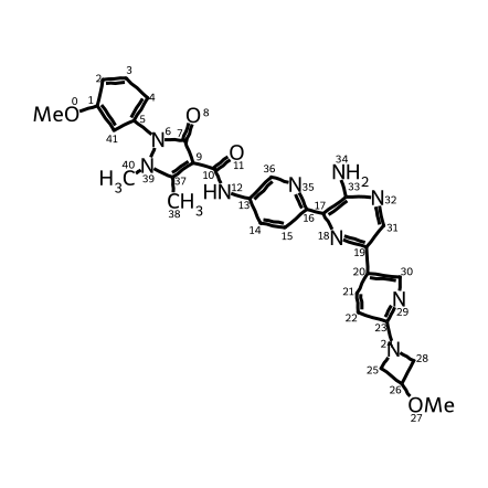 COc1cccc(-n2c(=O)c(C(=O)Nc3ccc(-c4nc(-c5ccc(N6CC(OC)C6)nc5)cnc4N)nc3)c(C)n2C)c1